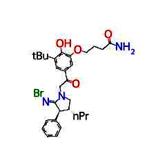 CCC[C@H]1CN(CC(=O)c2cc(OCCCC(N)=O)c(O)c(C(C)(C)C)c2)/C(=N\Br)[C@@H]1c1ccccc1